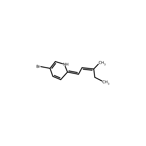 CC/C(C)=C\C=C1\C=CC(Br)=CN1